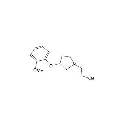 COc1ccccc1OC1CCN(CCC#N)C1